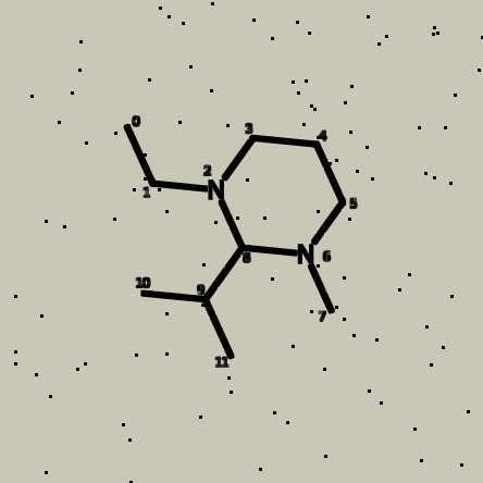 CCN1CCCN(C)C1C(C)C